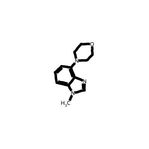 Cn1cnc2c(N3CCOCC3)cccc21